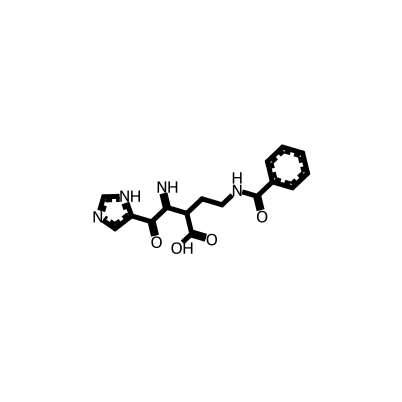 N=C(C(=O)c1cnc[nH]1)C(CCNC(=O)c1ccccc1)C(=O)O